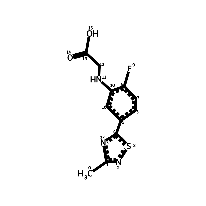 Cc1nsc(-c2ccc(F)c(NCC(=O)O)c2)n1